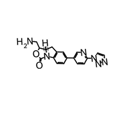 NCC1OC(=O)N2c3ccc(-c4ccc(-n5ccnn5)nc4)cc3C[C@@H]12